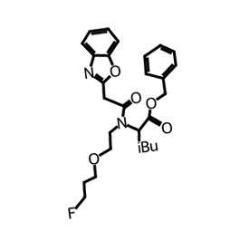 CCC(C)C(C(=O)OCc1ccccc1)N(CCOCCCF)C(=O)Cc1nc2ccccc2o1